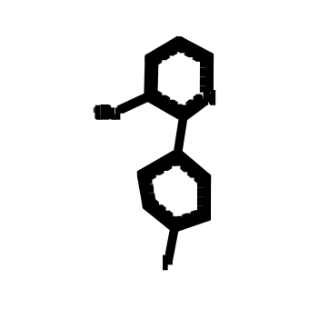 CC(C)(C)c1cccnc1-c1ccc(F)cc1